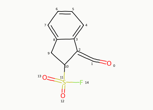 O=C=C1c2ccccc2CC1S(=O)(=O)F